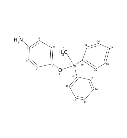 C[Si](Oc1ccc(N)cc1)(c1ccccc1)c1ccccc1